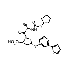 CC(C)(C)[C@H](NC(=O)OC1CCCC1)C(=O)N1C[C@H](Oc2ccnc(-c3cccs3)c2)C[C@H]1C(=O)O